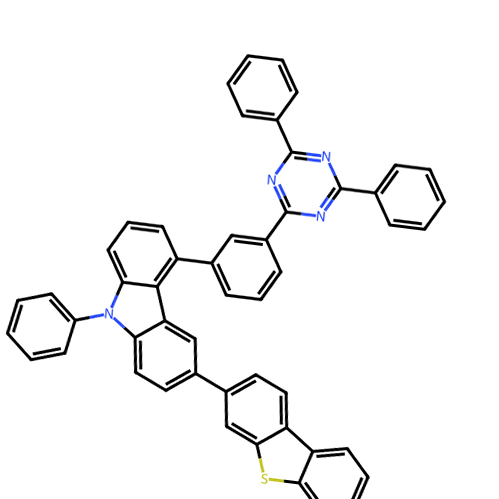 c1ccc(-c2nc(-c3ccccc3)nc(-c3cccc(-c4cccc5c4c4cc(-c6ccc7c(c6)sc6ccccc67)ccc4n5-c4ccccc4)c3)n2)cc1